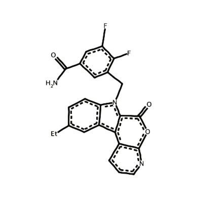 CCc1ccc2c(c1)c1c3cccnc3oc(=O)c1n2Cc1cc(C(N)=O)cc(F)c1F